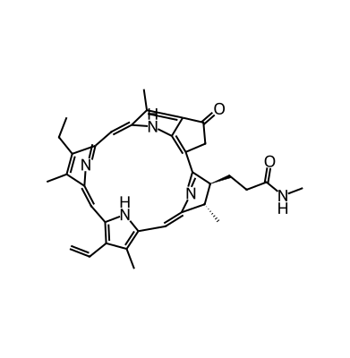 C=Cc1c(C)c2cc3nc(c4c5[nH]c(cc6nc(cc1[nH]2)C(C)=C6CC)c(C)c5C(=O)C4)[C@@H](CCC(=O)NC)[C@@H]3C